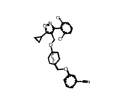 N#Cc1cccc(OCC23CCC(OCc4c(-c5c(Cl)cccc5Cl)noc4C4CC4)(CC2)CC3)c1